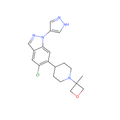 CC1(N2CCC(c3cc4c(cnn4-c4cn[nH]c4)cc3Cl)CC2)COC1